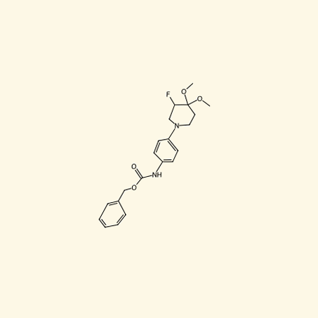 COC1(OC)CCN(c2ccc(NC(=O)OCc3ccccc3)cc2)CC1F